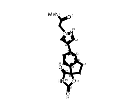 CNC(=O)Cn1cc(-c2ccc3c(c2)CCC32OC(=O)NC2=O)cn1